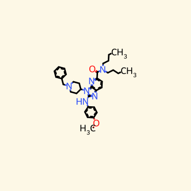 CCCCN(CCCC)C(=O)c1ccc2nc(Nc3ccc(OC)cc3)n(C3CCN(Cc4ccccc4)CC3)c2n1